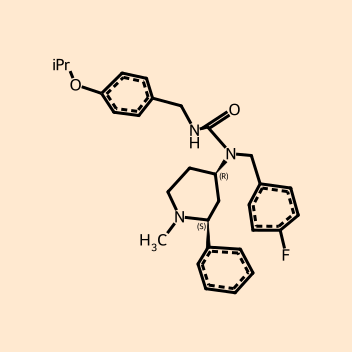 CC(C)Oc1ccc(CNC(=O)N(Cc2ccc(F)cc2)[C@@H]2CCN(C)[C@H](c3ccccc3)C2)cc1